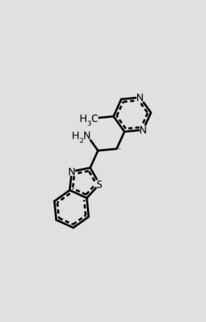 Cc1cncnc1[CH]C(N)c1nc2ccccc2s1